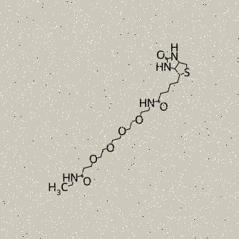 CCNC(=O)CCOCCOCCOCCOCCNC(=O)CCCCC1SCC2NC(=O)NC21